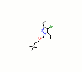 CCc1nn(COCC[Si](C)(C)C)c(CC)c1Br